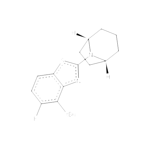 CC(C)(C)c1c(F)ccc2sc(N3[C@@H]4CCC[C@H]3CC4)nc12